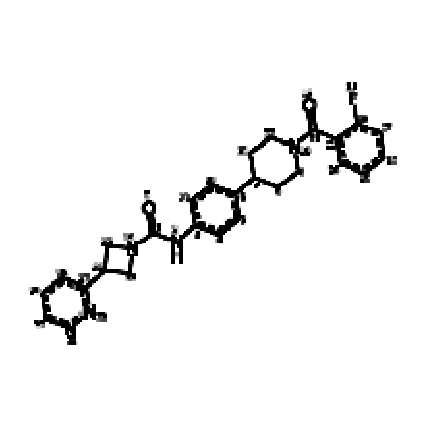 O=C(Nc1ccc(C2CCN(C(=O)c3ccccc3F)CC2)cc1)N1CC(c2cccnn2)C1